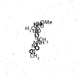 COC(=O)Nc1nc(C)c(S(=O)(=O)N2CCN(C[C@H](C)Nc3ncnc4c(-c5cccc(C)n5)cccc34)CC2)s1